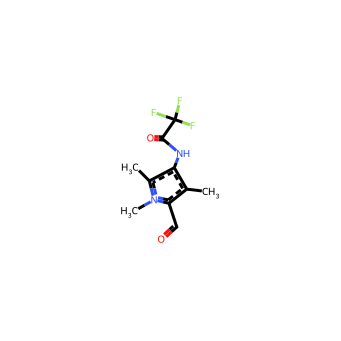 Cc1c(NC(=O)C(F)(F)F)c(C)n(C)c1C=O